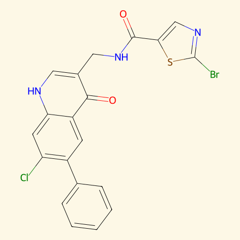 O=C(NCc1c[nH]c2cc(Cl)c(-c3ccccc3)cc2c1=O)c1cnc(Br)s1